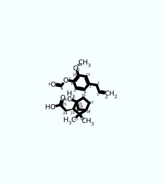 C=CCc1ccc(OC=O)c(OC)c1.CC12CCC(C1)C(C)(C)[C@H]2CC(=O)O